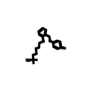 CC(=O)c1ccc(OCc2ccccc2OCCCCCC(C)(C)C#N)cc1